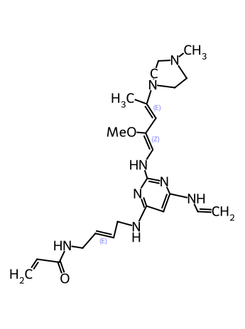 C=CNc1cc(NC/C=C/CNC(=O)C=C)nc(N/C=C(/C=C(\C)N2CCN(C)CC2)OC)n1